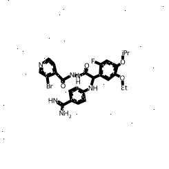 CCOc1cc(C(Nc2ccc(C(=N)N)cc2)C(=O)NNC(=O)c2ccncc2Br)c(F)cc1OC(C)C